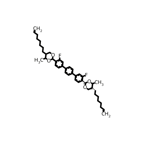 C=CCCCCCCC1COC(c2ccc(-c3ccc(-c4ccc([C@@H]5OC[C@@H](CCCCCCC=C)C(C)O5)c(F)c4)cc3)cc2F)OC1C